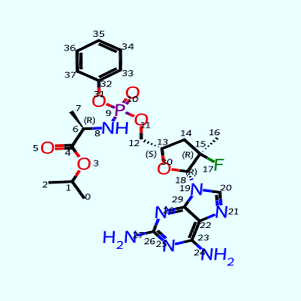 CC(C)OC(=O)[C@@H](C)NP(=O)(OC[C@@H]1C[C@@](C)(F)[C@H](n2cnc3c(N)nc(N)nc32)O1)Oc1ccccc1